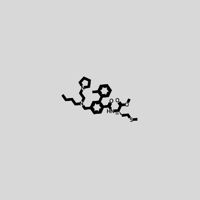 CCCCN(CCN1CCCC1)Cc1ccc(C(=O)N[C@@H](CCSC)C(=O)OC)c(-c2ccccc2C)c1